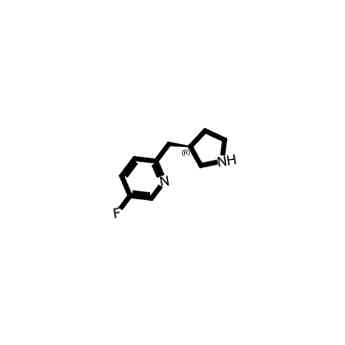 Fc1ccc(C[C@H]2CCNC2)nc1